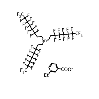 CCc1cccc(C(=O)[O-])c1.FC(F)(F)C(F)(F)C(F)(F)C(F)(F)C(F)(F)C(F)(F)C[CH2][Sn+]([CH2]CC(F)(F)C(F)(F)C(F)(F)C(F)(F)C(F)(F)C(F)(F)F)[CH2]CC(F)(F)C(F)(F)C(F)(F)C(F)(F)C(F)(F)C(F)(F)F